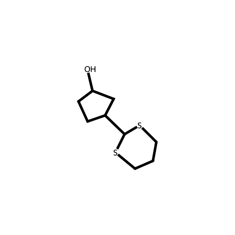 OC1CCC(C2SCCCS2)C1